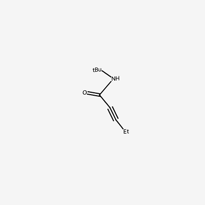 CCC#CC(=O)NC(C)(C)C